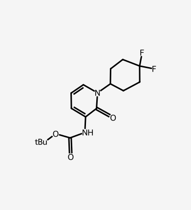 CC(C)(C)OC(=O)Nc1cccn(C2CCC(F)(F)CC2)c1=O